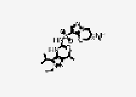 CCn1nc(C(C)C)c(NC(=O)NS(=O)(=O)c2cnn3c2OC[C@@H](NC)C3)c1C(C)C